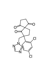 O=C1CCC(=O)C12CCC(Cn1cncn1)(c1ccc(Cl)cc1Cl)C2=O